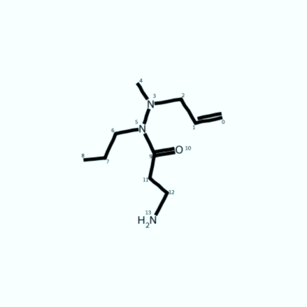 C=CCN(C)N(CCC)C(=O)CCN